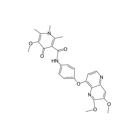 COc1cc2nccc(Oc3ccc(NC(=O)c4c(C)n(C)c(C)c(OC)c4=O)cc3)c2nc1OC